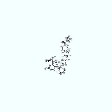 CC(C)N(C(=O)c1cc(F)ccc1Oc1cncnc1N1CCC(CN2CCC3(CCC(Nc4nccs4)CC3)CC2)C1)C(C)C